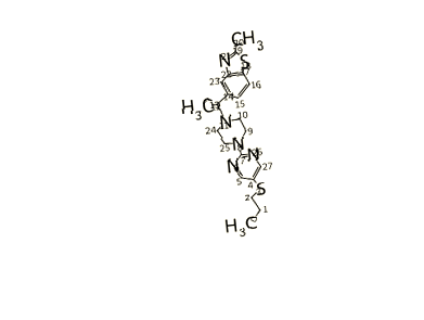 CCCSc1cnc(N2CCN(C(C)c3ccc4sc(C)nc4c3)CC2)nc1